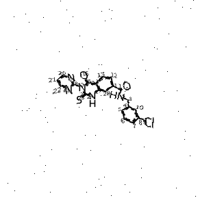 O=C(NCc1cccc(Cl)c1)c1ccc2c(=O)n(-c3ncccn3)c(=S)[nH]c2c1